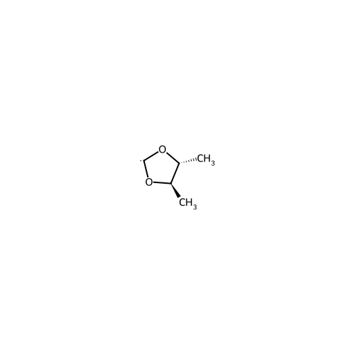 C[C@H]1O[CH]O[C@@H]1C